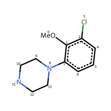 COc1c(Cl)cccc1N1CC[N]CC1